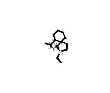 CCN1CCC2(CCCCC2C(C)C)C1=O